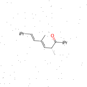 CC(/C=C/C(C)C)=C\[C@@H](C)C(=O)C(C)C